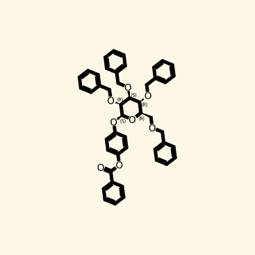 O=C(Oc1ccc(O[C@@H]2O[C@H](COCc3ccccc3)[C@@H](OCc3ccccc3)[C@H](OCc3ccccc3)[C@H]2OCc2ccccc2)cc1)c1ccccc1